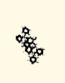 CC1CC(N(c2ccccc2)C2C=CC=CC2)=c2ccc3ccc(N(c4ccccc4)c4ccccc4)c4c3c2=C1CC4